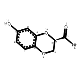 NC(=O)[C@H]1COc2ccc(O)cc2O1